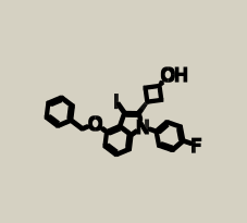 O[C@H]1C[C@@H](c2c(I)c3c(OCc4ccccc4)cccc3n2-c2ccc(F)cc2)C1